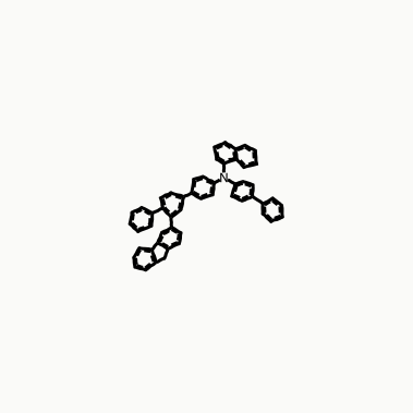 c1ccc(-c2ccc(N(c3ccc(-c4ccc(-c5ccccc5)c(-c5ccc6c(c5)-c5ccccc5C6)c4)cc3)c3cccc4ccccc34)cc2)cc1